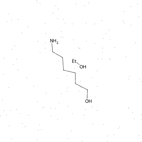 CCO.NCCCCCCO